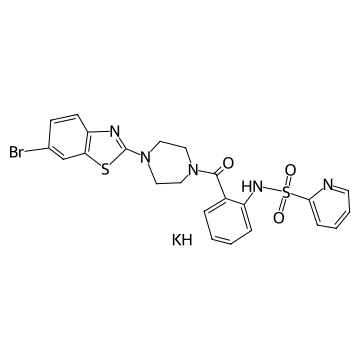 O=C(c1ccccc1NS(=O)(=O)c1ccccn1)N1CCN(c2nc3ccc(Br)cc3s2)CC1.[KH]